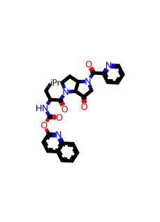 CC(C)CC(NC(=O)Oc1ccc2ccccc2n1)C(=O)N1CCC2C1C(=O)CN2C(=O)c1ccccn1